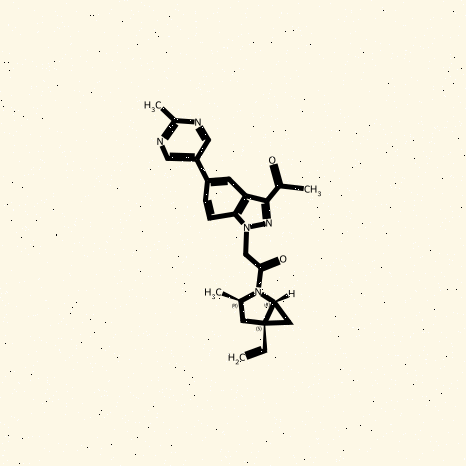 C=C[C@@]12C[C@@H](C)N(C(=O)Cn3nc(C(C)=O)c4cc(-c5cnc(C)nc5)ccc43)[C@@H]1C2